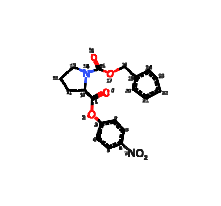 O=C(Oc1ccc([N+](=O)[O-])cc1)C1CCCN1C(=O)OCc1ccccc1